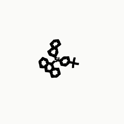 CC(C)(C)c1ccc([S+](c2ccc3ccccc3c2)c2c3ccccc3cc3ccccc23)cc1